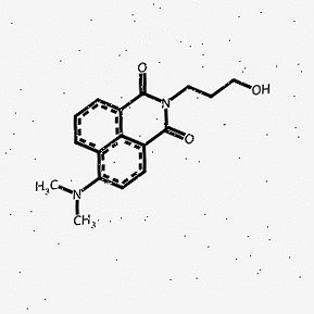 CN(C)c1ccc2c3c(cccc13)C(=O)N(CCCO)C2=O